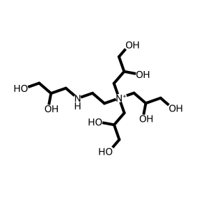 OCC(O)CNCC[N+](CC(O)CO)(CC(O)CO)CC(O)CO